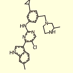 Cc1ccc2c(-c3nc(Nc4cc(CN5CCNC(C)C5)cc(C5CC5)c4)ncc3Cl)c[nH]c2c1